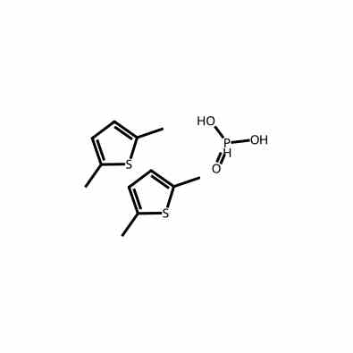 Cc1ccc(C)s1.Cc1ccc(C)s1.O=[PH](O)O